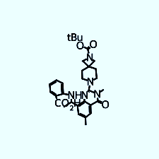 Cc1cc(C(C)Nc2ccccc2C(=O)O)c2nc(N3CCC4(CC3)CN(C(=O)OC(C)(C)C)C4)n(C)c(=O)c2c1